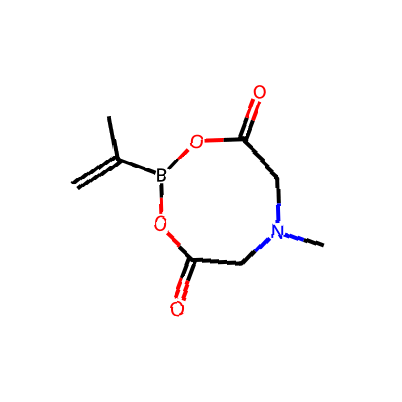 C=C(C)B1OC(=O)CN(C)CC(=O)O1